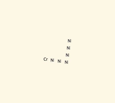 [Cr].[N].[N].[N].[N].[N].[N]